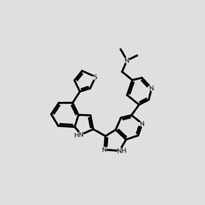 CN(C)Cc1cncc(-c2cc3c(-c4cc5c(-c6ccsc6)cccc5[nH]4)n[nH]c3cn2)c1